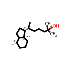 CC(CCCC(O)(C(F)(F)F)C(F)(F)F)[C@H]1CCC2[C@@H](C)CCC[C@@]21C